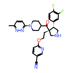 Cc1ccc(N2CCC(C(=O)[C@@]3(CCOc4ccc(C#N)cn4)CNC[C@H]3c3ccc(F)c(F)c3)CC2)nn1